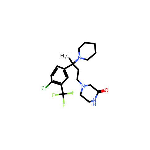 CC(CCN1CCNC(=O)C1)(c1ccc(Cl)c(C(F)(F)F)c1)N1CCCCC1